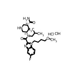 COCCCCn1c(C(=O)N(CC(C)C)[C@@H]2CNC[C@H](C(N)=O)C2)nc2cc(F)ccc21.Cl.Cl